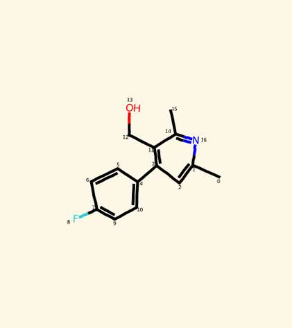 Cc1cc(-c2ccc(F)cc2)c(CO)c(C)n1